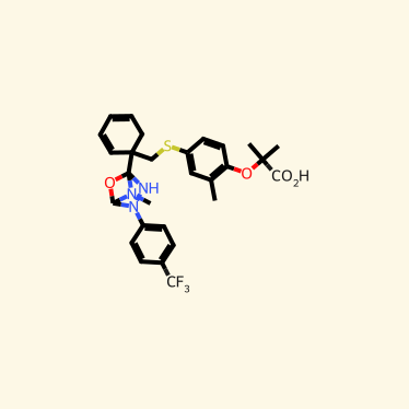 Cc1cc(SCC2(C34NN(c5ccc(C(F)(F)F)cc5)C(O3)N4C)C=CC=CC2)ccc1OC(C)(C)C(=O)O